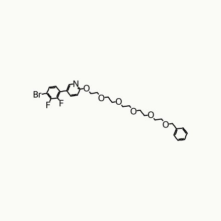 Fc1c(Br)ccc(-c2ccc(OCCOCCOCCOCCOCCOCc3ccccc3)nc2)c1F